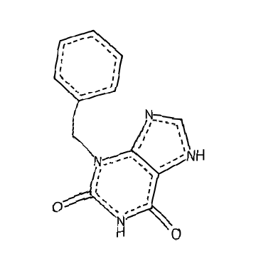 O=c1[nH]c(=O)n(Cc2ccccc2)c2nc[nH]c12